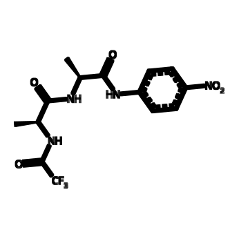 C[C@H](NC(=O)[C@H](C)NC(=O)C(F)(F)F)C(=O)Nc1ccc([N+](=O)[O-])cc1